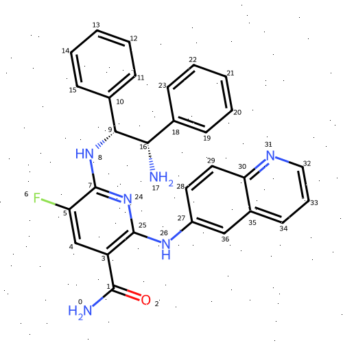 NC(=O)c1cc(F)c(N[C@H](c2ccccc2)[C@@H](N)c2ccccc2)nc1Nc1ccc2ncccc2c1